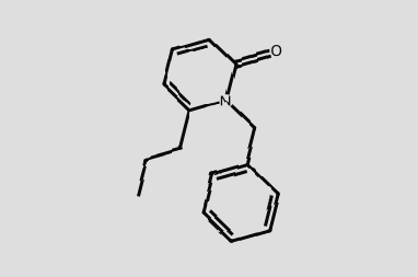 CCCc1cccc(=O)n1Cc1ccccc1